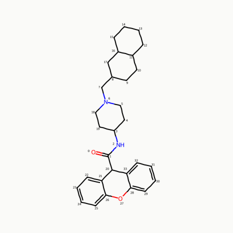 O=C(NC1CCN(CC2CCC3CCCCC3C2)CC1)C1c2ccccc2Oc2ccccc21